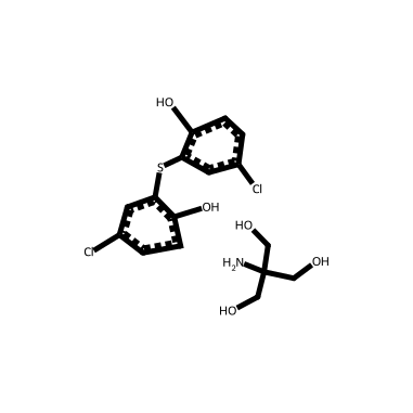 NC(CO)(CO)CO.Oc1ccc(Cl)cc1Sc1cc(Cl)ccc1O